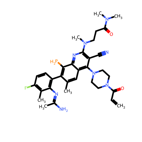 C=CC(=O)N1CCN(c2c(C#N)c(N(C)CCC(=O)N(C)C)nc3c(P)c(-c4ccc(F)c(C)c4/N=C(\C)N)c(C)cc23)CC1